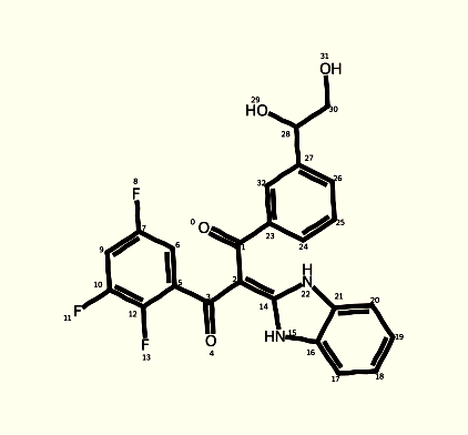 O=C(C(C(=O)c1cc(F)cc(F)c1F)=C1Nc2ccccc2N1)c1cccc(C(O)CO)c1